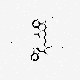 CC(C)Nc1cccnc1N(C)CCCCCCN(C)C(=O)c1c[nH]c2ccccc12